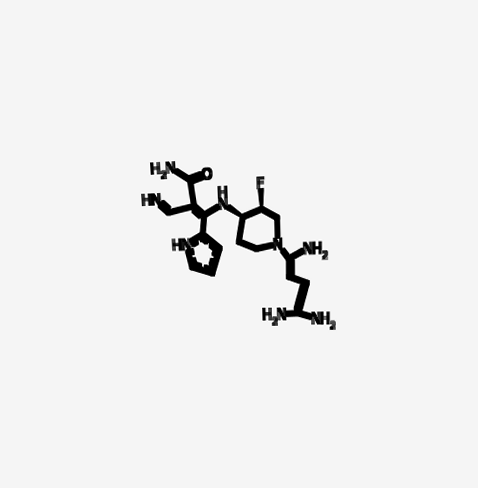 N=C/C(C(N)=O)=C(/N[C@@H]1CCN(/C(N)=C/C=C(N)N)C[C@@H]1F)c1ccc[nH]1